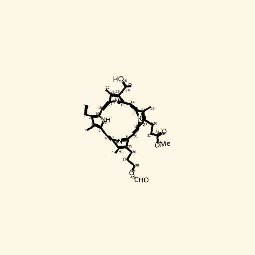 C=Cc1c(C)c2cc3nc(cc4[nH]c(cc5nc(cc1[nH]2)C(C)=C5C(C)O)c(C)c4CCC(=O)OC)C(CCCOC=O)=C3C